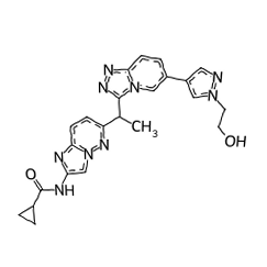 CC(c1ccc2nc(NC(=O)C3CC3)cn2n1)c1nnc2ccc(-c3cnn(CCO)c3)cn12